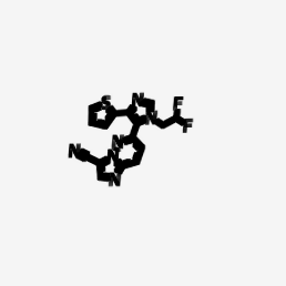 N#Cc1cnc2ccc(-c3c(-c4cccs4)ncn3CC(F)F)nn12